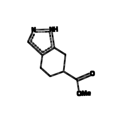 COC(=O)C1CCc2cn[nH]c2C1